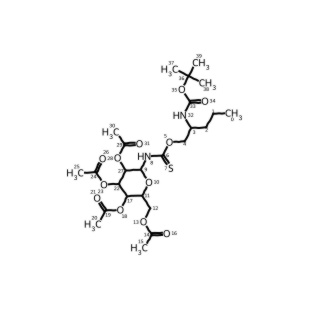 CCCC(COC(=S)NC1OC(COC(C)=O)C(OC(C)=O)C(OC(C)=O)C1OC(C)=O)NC(=O)OC(C)(C)C